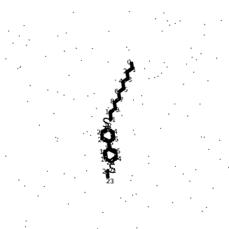 CCCCCCCCCCCCSc1ccc(-c2ccc(SCC)cc2)cc1